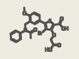 COc1ccc(-c2sc(C(=O)O)c(OCC(=O)O)c2Br)cc1CN(C(C)=O)c1ccccc1